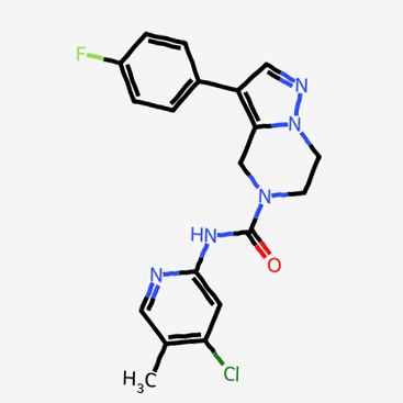 Cc1cnc(NC(=O)N2CCn3ncc(-c4ccc(F)cc4)c3C2)cc1Cl